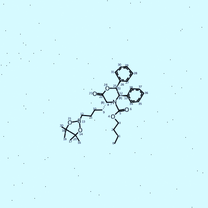 CCCCOC(=O)N1[C@H](CCCCB2OC(C)(C)C(C)(C)O2)C(=O)O[C@@H](c2ccccc2)[C@H]1c1ccccc1